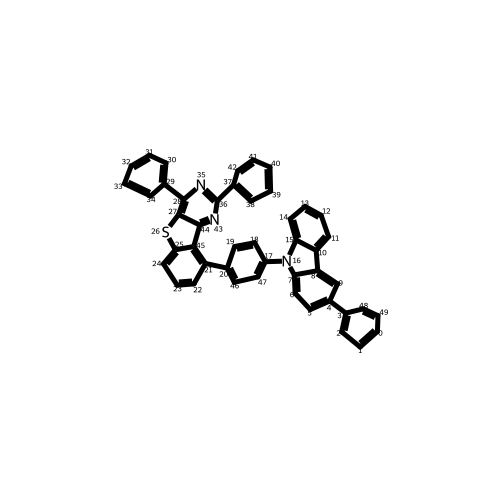 c1ccc(-c2ccc3c(c2)c2ccccc2n3-c2ccc(-c3cccc4sc5c(-c6ccccc6)nc(-c6ccccc6)nc5c34)cc2)cc1